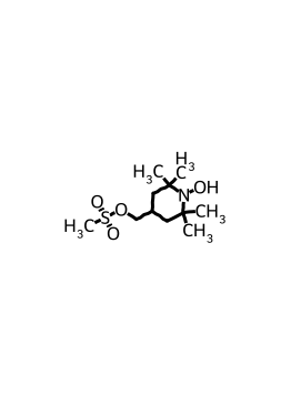 CC1(C)CC(COS(C)(=O)=O)CC(C)(C)N1O